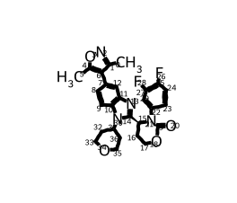 Cc1noc(C)c1-c1ccc2c(c1)nc([C@@H]1CCOC(=O)N1c1ccc(F)c(F)c1)n2C1CCOCC1